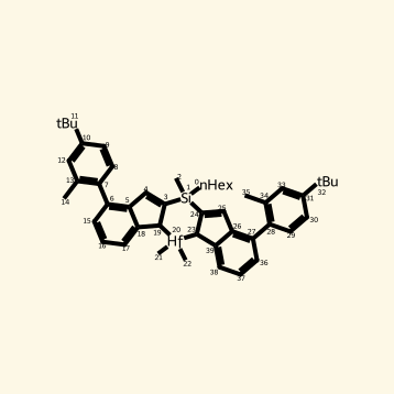 CCCCCC[Si]1(C)C2=Cc3c(-c4ccc(C(C)(C)C)cc4C)cccc3[CH]2[Hf]([CH3])([CH3])[CH]2C1=Cc1c(-c3ccc(C(C)(C)C)cc3C)cccc12